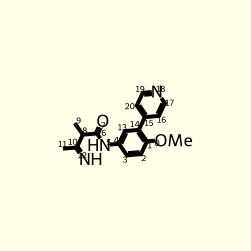 COc1ccc(NC(=O)C(C)C(C)=N)cc1-c1ccncc1